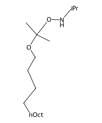 CCCCCCCCCCCCOC(C)(C)ONC(C)C